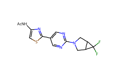 CC(=O)Nc1csc(-c2cnc(N3CC4C(C3)C4(F)F)nc2)n1